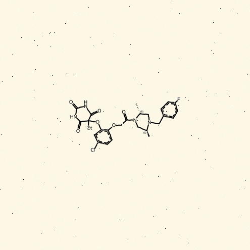 CCC1(Oc2cc(Cl)ccc2OCC(=O)N2C[C@H](C)N(Cc3ccc(F)cc3)C[C@H]2C)C(=O)NC(=O)NC1=O